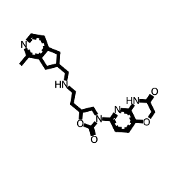 Cc1nccc2c1CC(CNCCC1CN(c3ccc4c(n3)NC(=O)CO4)C(=O)O1)C2